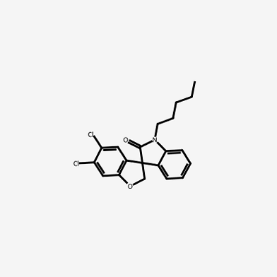 CCCCCN1C(=O)C2(COc3cc(Cl)c(Cl)cc32)c2ccccc21